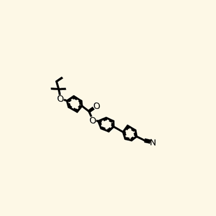 CCC(C)(C)Oc1ccc(C(=O)Oc2ccc(-c3ccc(C#N)cc3)cc2)cc1